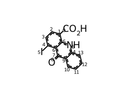 O=C(O)c1ccc(I)c2c(=O)c3ccccc3[nH]c12